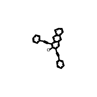 Clc1c(C#Cc2ccccc2)cc2cc3ccccc3cc2c1C#Cc1ccccc1